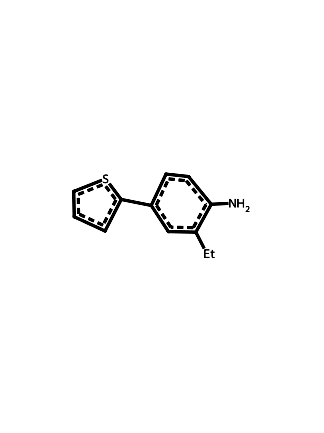 CCc1cc(-c2cccs2)ccc1N